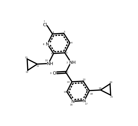 O=C(Nc1ccc(Cl)nc1NC1CC1)c1cnnc(C2CC2)c1